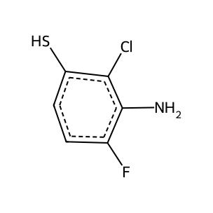 Nc1c(F)ccc(S)c1Cl